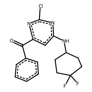 O=C(c1ccccc1)c1cc(NC2CCC(F)(F)CC2)nc(Cl)n1